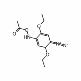 CCOC1=CC(=[N+]=[N-])C(OCC)C=C1NOC(C)=O